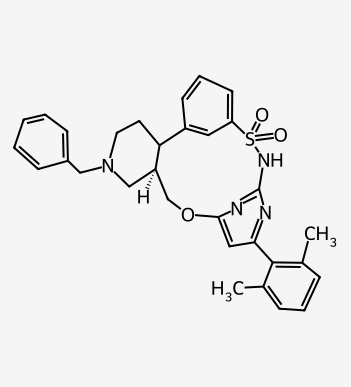 Cc1cccc(C)c1-c1cc2nc(n1)NS(=O)(=O)c1cccc(c1)C1CCN(Cc3ccccc3)C[C@@H]1CO2